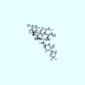 CC(C)(C)C[C@@H]1N[C@@H](C(O)Nc2ccc(C(=O)OC(C)(C)C)c(F)c2)C(c2cccc(Cl)c2F)[C@@]1(C#N)c1ccc(Cl)cc1F